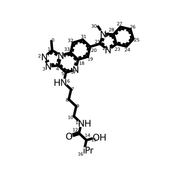 Cc1nnc2c(NCCCCNC(=O)C(O)C(C)C)nc3cc(-c4nc5ccccc5n4C)ccc3n12